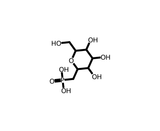 O=P(O)(O)CC1OC(CO)C(O)C(O)C1O